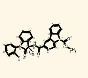 COC(=O)n1c2ccccc2c2cc(C(=O)N[C@]3(C)C(=O)N(c4ccccc4F)c4ccccc43)ncc21